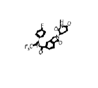 O=C1CCC(N2Cc3cc(C(=O)N4C(C(F)(F)F)[C@@H]4c4ccc(F)cc4)ccc3C2=O)C(=O)N1